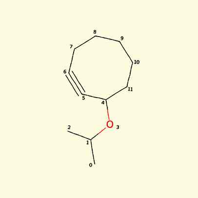 CC(C)OC1C#CCCCCC1